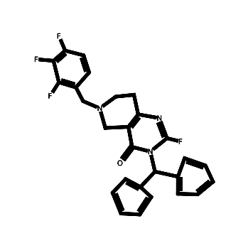 O=c1c2c(nc(F)n1C(c1ccccc1)c1ccccc1)CCN(Cc1ccc(F)c(F)c1F)C2